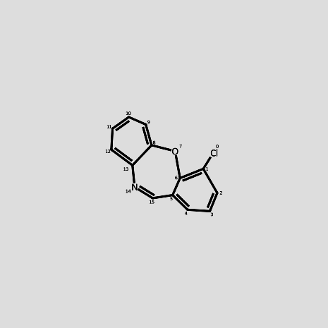 Clc1cccc2c1Oc1ccccc1N=C2